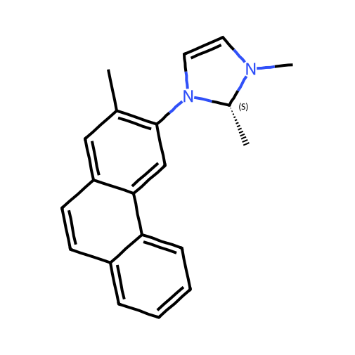 Cc1cc2ccc3ccccc3c2cc1N1C=CN(C)[C@@H]1C